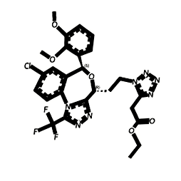 CCOC(=O)Cc1nnnn1CC[C@H]1O[C@H](c2cccc(OC)c2OC)c2cc(Cl)ccc2-n2c1nnc2C(F)(F)F